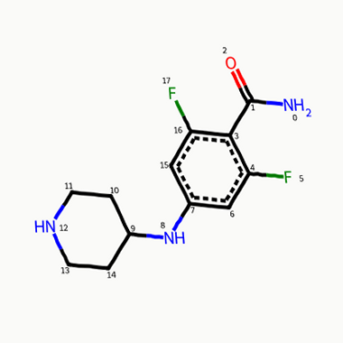 NC(=O)c1c(F)cc(NC2CCNCC2)cc1F